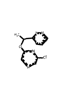 CC(Oc1cncc(Cl)n1)c1cccnn1